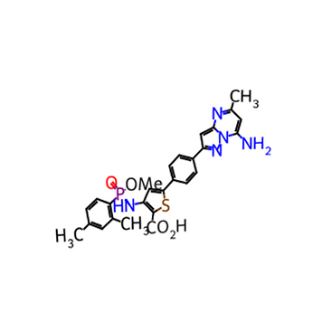 COP(=O)(Nc1cc(-c2ccc(-c3cc4nc(C)cc(N)n4n3)cc2)sc1C(=O)O)c1ccc(C)cc1C